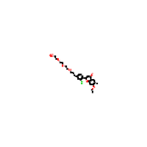 CCOc1cc2oc(-c3ccc(CCCOCCOCCOCCO)cc3Cl)cc(=O)c2cc1C